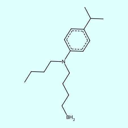 BCCCCN(CCCC)c1ccc(C(C)C)cc1